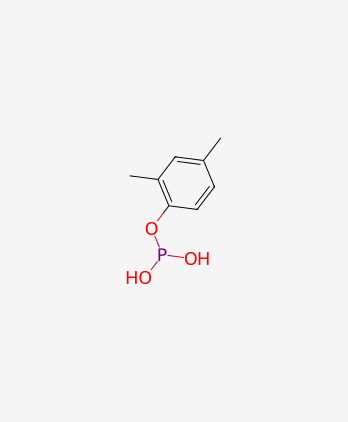 Cc1ccc(OP(O)O)c(C)c1